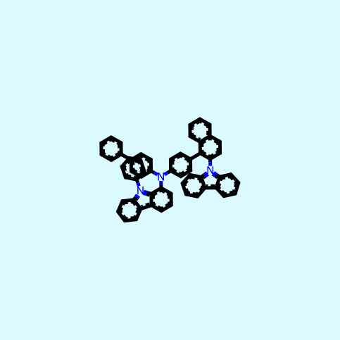 c1ccc(-c2ccc(N(c3ccc(-c4c(-n5c6ccccc6c6ccccc65)ccc5ccccc45)cc3)c3cccc4c5ccccc5n(-c5ccccc5)c34)cc2)cc1